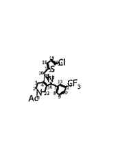 CC(=O)N1CCc2c(c(-c3cccc(C(F)(F)F)c3)nn2Cc2ccc(Cl)s2)C1